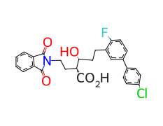 O=C(O)[C@@H](CCN1C(=O)c2ccccc2C1=O)[C@H](O)CCc1cc(-c2ccc(Cl)cc2)ccc1F